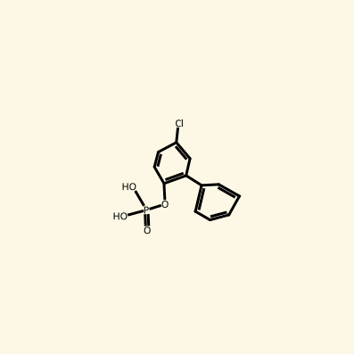 O=P(O)(O)Oc1ccc(Cl)cc1-c1ccccc1